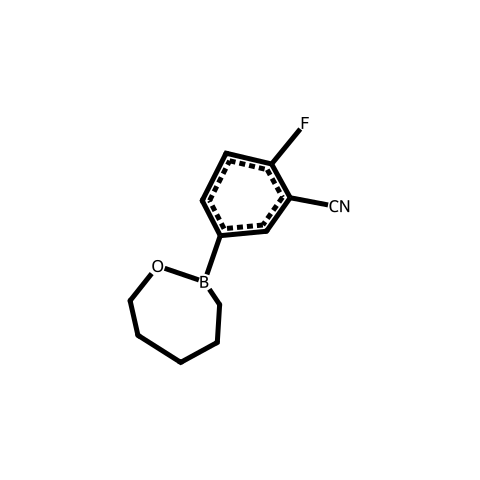 N#Cc1cc(B2CCCCCO2)ccc1F